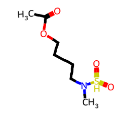 CC(=O)OCCCCN(C)[SH](=O)=O